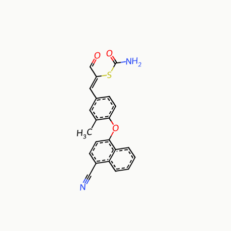 Cc1cc(/C=C(/C=O)SC(N)=O)ccc1Oc1ccc(C#N)c2ccccc12